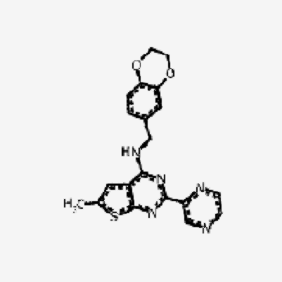 Cc1cc2c(NCc3ccc4c(c3)OCCO4)nc(-c3cnccn3)nc2s1